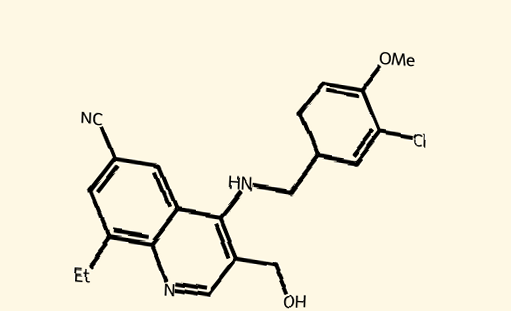 CCc1cc(C#N)cc2c(NCC3C=C(Cl)C(OC)=CC3)c(CO)cnc12